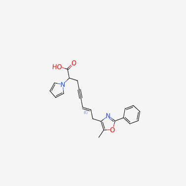 Cc1oc(-c2ccccc2)nc1C/C=C/C#CCC(C(=O)O)n1cccc1